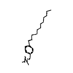 CCCCCCCCCCCCc1ccc(C[N+](C)(C)C)cc1